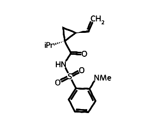 C=C[C@@H]1C[C@@]1(C(=O)NS(=O)(=O)c1ccccc1NC)C(C)C